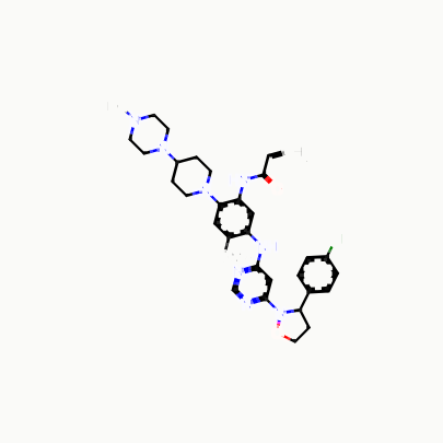 C=CC(=O)Nc1cc(Nc2cc(N3OCCC3c3ccc(Cl)cc3)ncn2)c(OC)cc1N1CCC(N2CCN(C)CC2)CC1